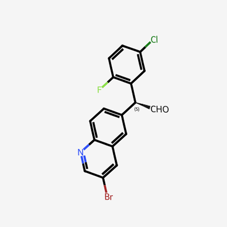 O=C[C@@H](c1ccc2ncc(Br)cc2c1)c1cc(Cl)ccc1F